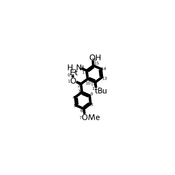 CCOC(c1ccc(OC)cc1)c1c(C(C)(C)C)ccc(O)c1N